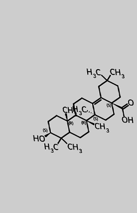 CC1(C)CC[C@]2(C(=O)O)CC[C@]3(C)C(=C2C1)CCC1[C@@]2(C)CC[C@H](O)C(C)(C)C2CC[C@]13C